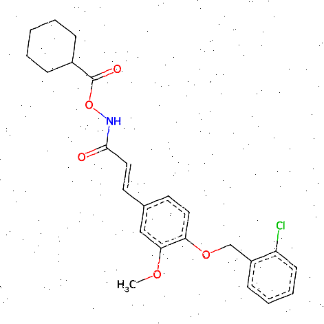 COc1cc(C=CC(=O)NOC(=O)C2CCCCC2)ccc1OCc1ccccc1Cl